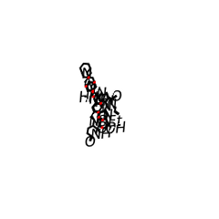 C=CCn1c(=O)c2cnc(Nc3ccc(C4CC5CCCC(C4)N5C4CCN(C5CN(c6cc7c(cc6F)C(=O)N(C6CCC(=O)NC6=O)C7)C5)CC4)cc3)nc2n1-c1ccc2c(n1)C(O)(CC)CC2